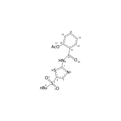 CCCCS(=O)(=O)c1cnc(NC(=O)c2ccccc2OC(C)=O)s1